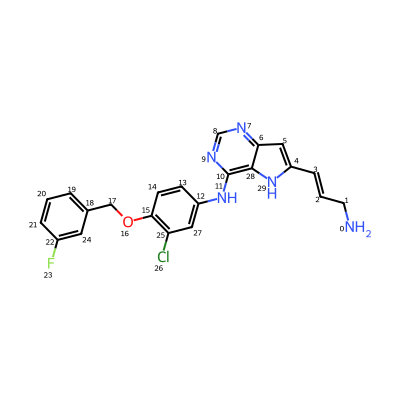 NC/C=C/c1cc2ncnc(Nc3ccc(OCc4cccc(F)c4)c(Cl)c3)c2[nH]1